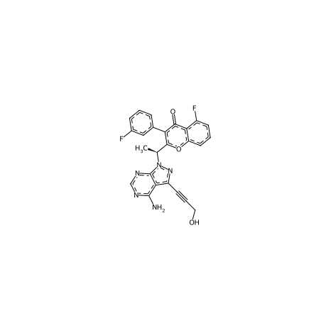 C[C@@H](c1oc2cccc(F)c2c(=O)c1-c1cccc(F)c1)n1nc(C#CCO)c2c(N)ncnc21